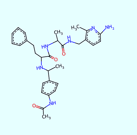 CC(=O)Nc1ccc(C(C)NC(CCc2ccccc2)C(=O)NC(C)C(=O)NCc2ccc(N)nc2C)cc1